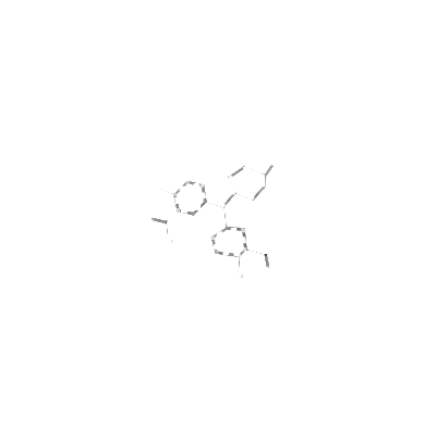 Cc1ccc(C(=C2C=CC(=O)C=C2)c2ccc(O)c(C(=O)O)c2)cc1C(=O)O